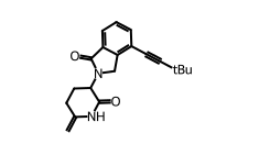 C=C1CCC(N2Cc3c(C#CC(C)(C)C)cccc3C2=O)C(=O)N1